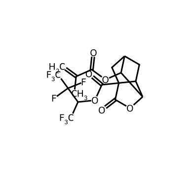 C=C(C)C(=O)OC1C2CC3C1OC(=O)C3(C(=O)OC(C(F)(F)F)C(F)(F)C(F)(F)F)C2